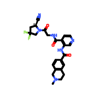 CN1CCc2cc(C(=O)Nc3cnccc3C(=O)NCC(=O)N3CC(F)(F)C[C@H]3C#N)ccc2C1